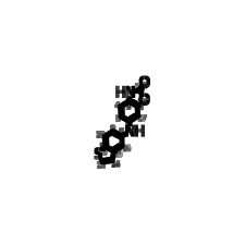 O=c1[nH]c2ccc(Nc3ccc4sccc4c3)cc2o1